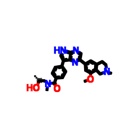 COc1cc(-c2cnc3[nH]cc(-c4ccc(C(=O)N(C)C[C@@H](C)O)cc4)c3n2)cc2c1CN(C)CC2